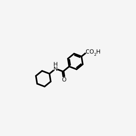 O=C(O)c1ccc(C(=O)NC2CCCCC2)cc1